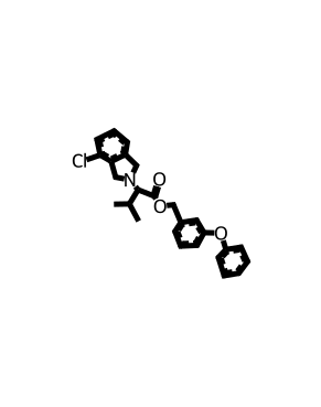 CC(C)C(C(=O)OCc1cccc(Oc2ccccc2)c1)N1Cc2cccc(Cl)c2C1